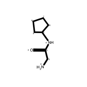 NCC(=O)N[C]1CCCC1